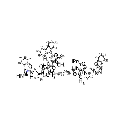 CC(C)C(=O)N[C@H](C(=O)N1CCC[C@H]1Cn1nnnc1Oc1ccccc1)[C@@H](C)OCC#CC#CCO[C@H](C)[C@H](NC(=O)[C@H](C)N(C)C(=O)OCC1c2ccccc2-c2ccccc21)C(=O)N1CCC[C@H]1CN/C(=N\N=N)Oc1ccccc1